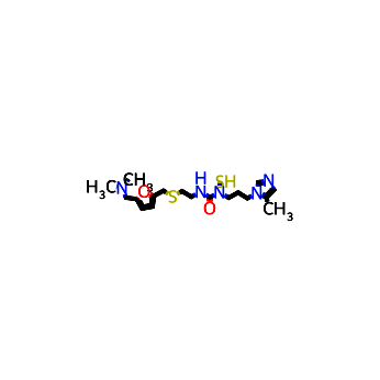 Cc1cncn1CCCN(S)C(=O)NCCSCc1ccc(CN(C)C)o1